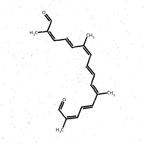 CC(C=O)=CC=CC(C)=CC=CC=C(C)C=CC=C(C)C=O